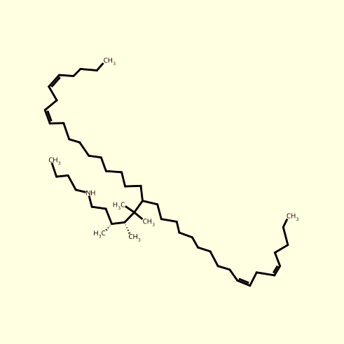 CCCC/C=C\C/C=C\CCCCCCCCCC(CCCCCCCCC/C=C\C/C=C\CCCC)C(C)(C)[C@H](C)[C@H](C)CCNCCCC